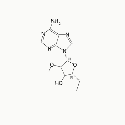 CC[C@H]1O[C@@H](n2cnc3c(N)ncnc32)C(OC)C1O